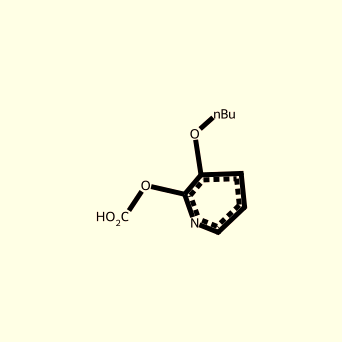 CCCCOc1cccnc1OC(=O)O